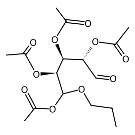 CCCOC(OC(C)=O)[C@@H](OC(C)=O)[C@@H](OC(C)=O)[C@@H](C=O)OC(C)=O